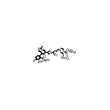 COC[C@H]1CN(CCC[C@@H](C(C)C)N2CC(c3cc(-c4ccc(F)cc4C(=O)N(C(C)C)C(C)C)c4cnc(C)n4c3)C2)CCN1C(=O)OC(C)(C)C